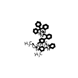 CCOc1nc2c(C)cc(-c3nc4ccccc4n3C)cc2n1Cc1ccc(-c2ccccc2-c2nnn(C(c3ccccc3)(c3ccccc3)c3ccccc3)n2)cc1